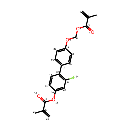 C=C(C)C(=O)OCOc1ccc(-c2ccc(OC(=O)C(=C)C)cc2F)cc1